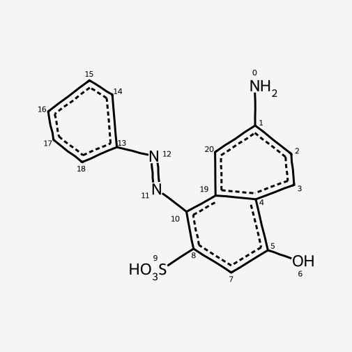 Nc1ccc2c(O)cc(S(=O)(=O)O)c(N=Nc3ccccc3)c2c1